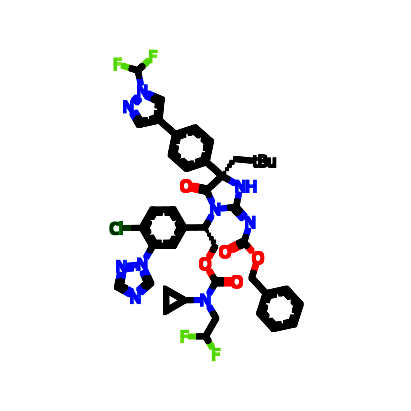 CC(C)(C)C[C@]1(c2ccc(-c3cnn(C(F)F)c3)cc2)N/C(=N/C(=O)OCc2ccccc2)N([C@H](COC(=O)N(CC(F)F)C2CC2)c2ccc(Cl)c(-n3cncn3)c2)C1=O